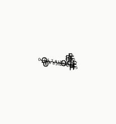 CCOC(=O)C=CCCCCCCOCc1cc(C(F)(F)F)cc(C(F)(F)F)c1